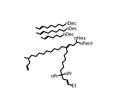 C=CCC(C)CCCCCCCCCC(=CCC(CCCCC)CCCCCC)CCCCCCC(CC=CCC)(CCC)CCC.CC=CCCCCCCCCCCCCC.CC=CCCCCCCCCCCCCCCC.CC=CCCCCCCCCCCCCCCC